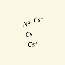 [Cs+].[Cs+].[Cs+].[N-3]